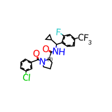 O=C(NC(c1ccc(C(F)(F)F)cc1F)C1CC1)[C@H]1CCCN1C(=O)c1cccc(Cl)c1